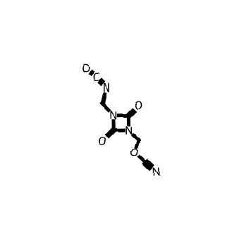 N#COCN1C(=O)N(CN=C=O)C1=O